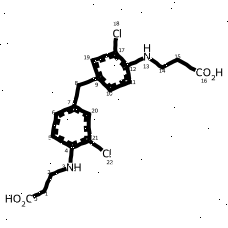 O=C(O)CCNc1ccc(Cc2ccc(NCCC(=O)O)c(Cl)c2)cc1Cl